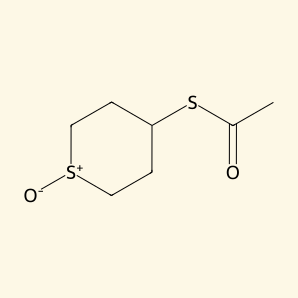 CC(=O)SC1CC[S+]([O-])CC1